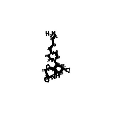 NCCCCN1CCN(c2cc(Cl)cc3c2OCC(=O)N3)CC1